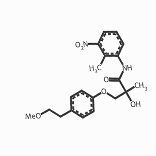 COCCc1ccc(OCC(C)(O)C(=O)Nc2cccc([N+](=O)[O-])c2C)cc1